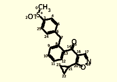 C[S+]([O-])c1ccc(Cc2ccccc2C(=O)c2cnoc2C2CC2)cc1